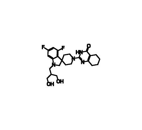 O=c1[nH]c(N2CCC3(CC2)CN(CC(CO)CO)c2cc(F)cc(F)c23)nc2c1CCCC2